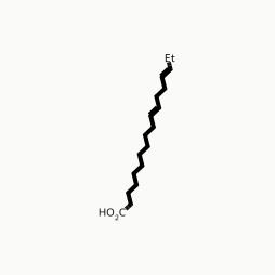 CC/C=C/CC/C=C/CCCCCCCCCC(=O)O